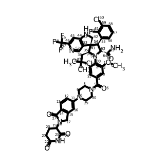 COc1cc(C(=O)N2CCN(c3ccc4c(c3)CN(C3CCC(=O)NC3=O)C4=O)CC2)ccc1N1[C@@H](CC(C)(C)C)[C@@]2(CNc3cc(C(F)(F)F)ncc32)[C@@H](c2cccc(Cl)c2F)[C@@H]1C(N)=O